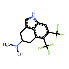 CN(C)C1Cc2c[nH]c3cc(C(F)(F)F)c(C(F)(F)F)c(c23)C1